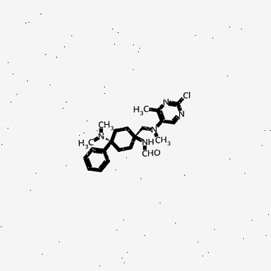 Cc1nc(Cl)ncc1N(C)C[C@]1(NC=O)CC[C@@](c2ccccc2)(N(C)C)CC1